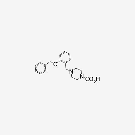 O=C(O)N1CCN(Cc2ccccc2OCc2ccccc2)CC1